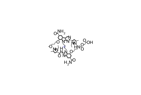 CCn1nc(C)cc1C(=O)Nc1nc2cc(C(N)=O)cc(OCCCNC(=O)OCC(=O)O)c2n1C/C=C/Cn1c2nc(-c3cc(C)nn3CC)ncc2c2cc(C(N)=O)cc(OCCCOC)c21